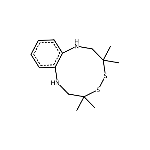 CC1(C)CNc2ccccc2NCC(C)(C)SS1